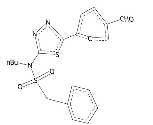 CCCCN(c1nnc(-c2ccc(C=O)cc2)s1)S(=O)(=O)Cc1ccccc1